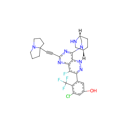 Oc1cc(Cl)c(C(F)(F)F)c(-c2nnc3c(N4C[C@H]5CC[C@@H]4CN5)nc(C#CC45CCCN4CCC5)nc3c2F)c1